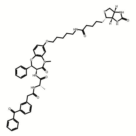 C[C@H](NC(=O)Cc1cccc(C(=O)c2ccccc2)c1)C(=O)N[C@@H]1C(=O)N(C)c2cc(OCCCCCNC(=O)CCCC[C@@H]3SC[C@@H]4NC(=O)N[C@@H]43)ccc2O[C@@H]1c1ccccc1